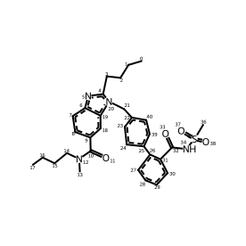 CCCCc1nc2ccc(C(=O)N(C)CCCC)cc2n1Cc1ccc(-c2ccccc2C(=O)NS(C)(=O)=O)cc1